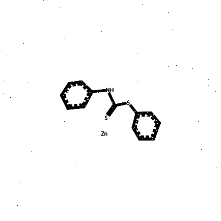 S=C(Nc1ccccc1)Sc1ccccc1.[Zn]